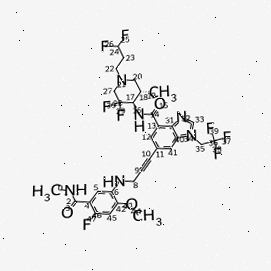 CNC(=O)c1cc(NCC#Cc2cc(C(=O)N[C@@H]3[C@@H](C)CN(CCC(F)F)CC3(F)F)c3ncn(CC(F)(F)F)c3c2)c(OC)cc1F